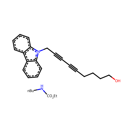 CCCCNC(=O)OCC.OCCCCC#CC#CCn1c2ccccc2c2ccccc21